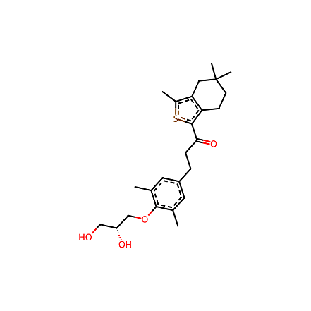 Cc1cc(CCC(=O)c2sc(C)c3c2CCC(C)(C)C3)cc(C)c1OC[C@H](O)CO